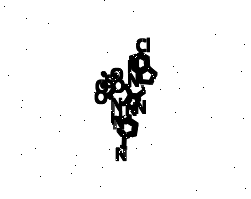 CS(=O)(=O)CC(=O)Nc1c2c(nn1-c1ccc(C#N)cn1)C[C@]1(CCc3cc(Cl)ccc31)NC2=O